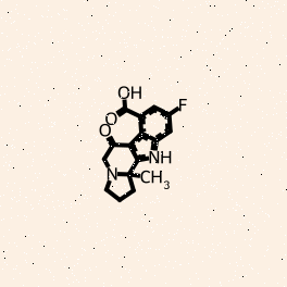 CC12CCCN1CC(=O)c1c2[nH]c2cc(F)cc(C(=O)O)c12